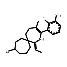 CC=C1NC(c2cccc(C(F)(F)F)c2F)=C(C)CCC12CCCC(CC)CC2